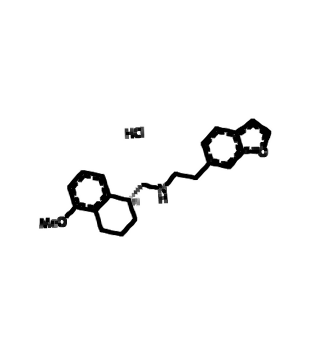 COc1cccc2c1CCC[C@H]2CNCCc1ccc2ccoc2c1.Cl